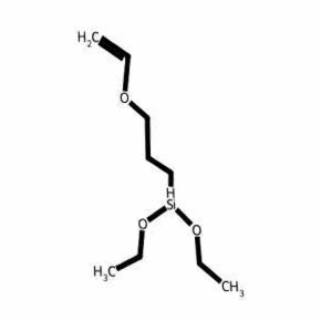 C=COCCC[SiH](OCC)OCC